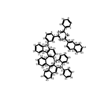 c1ccc(-c2nc(-c3cccc(-n4c5ccccc5c5c6c(ccc54)N4c5ccccc5N(c5ccccc5)c5cc7ccccc7c(c54)-c4ccccc4-6)c3)nc(-c3ccc4ccccc4c3)n2)cc1